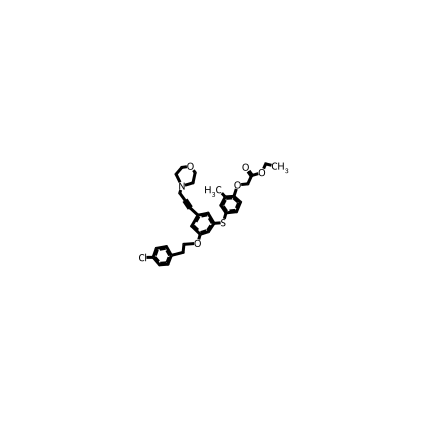 CCOC(=O)COc1ccc(Sc2cc(C#CCN3CCOCC3)cc(OCCc3ccc(Cl)cc3)c2)cc1C